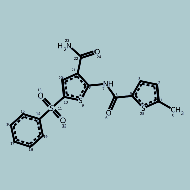 Cc1ccc(C(=O)Nc2sc(S(=O)(=O)c3ccccc3)cc2C(N)=O)s1